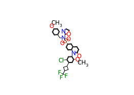 COc1ccc(CN(c2ncco2)S(=O)(=O)c2ccc3c(ccc(=O)n3-c3cc(Cl)c(C4CC(C(F)(F)F)C4)cc3OC)c2)cc1